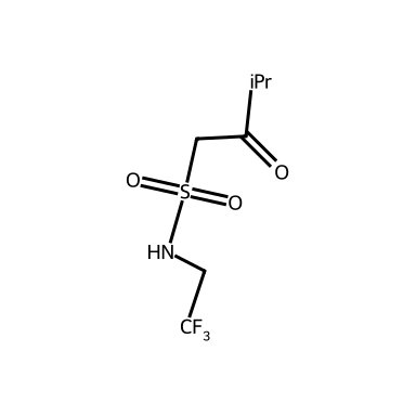 CC(C)C(=O)CS(=O)(=O)NCC(F)(F)F